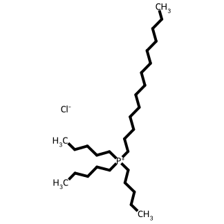 CCCCCCCCCCCCCC[P+](CCCCC)(CCCCC)CCCCC.[Cl-]